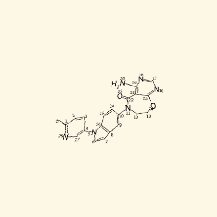 Cc1ccc(-n2ccc3cc(N4CCOc5ncnc(N)c5C4=O)ccc32)cn1